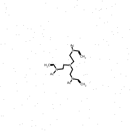 C=CN(CCN(CCN(C=C)C(C)=O)CCN(C=C)C(C)=O)C(C)=O